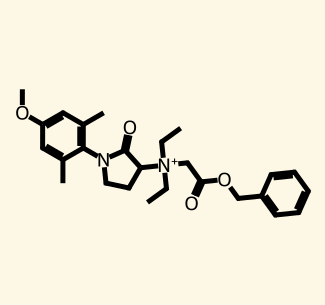 CC[N+](CC)(CC(=O)OCc1ccccc1)C1CCN(c2c(C)cc(OC)cc2C)C1=O